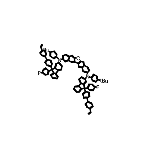 C=Cc1ccc(-c2ccc(C3(c4ccc(F)cc4)c4ccccc4-c4ccc(N(c5ccc(C(C)(C)C)cc5)c5ccc6cc7oc8cc9ccc(N(c%10ccc(C(C)(C)C)cc%10)c%10ccc%11c(c%10)C(c%10ccc(F)cc%10)(c%10ccc(-c%12ccc(C=C)cc%12)cc%10)c%10ccccc%10-%11)cc9cc8c7cc6c5)cc43)cc2)cc1